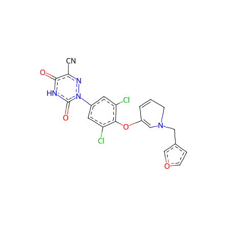 N#Cc1nn(-c2cc(Cl)c(OC3=CN(Cc4ccoc4)CC=C3)c(Cl)c2)c(=O)[nH]c1=O